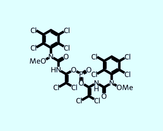 CON(C(=O)NC(O[PH](=O)OC(NC(=O)N(OC)c1c(Cl)c(Cl)cc(Cl)c1Cl)=C(Cl)Cl)=C(Cl)Cl)c1c(Cl)c(Cl)cc(Cl)c1Cl